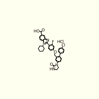 Cl.O=C(O)c1ccc2c(c1)nc(-c1ccc(OCc3cc(N4CCNC4=O)ccc3-c3ccc(Cl)cc3)cc1F)n2C1CCCCC1